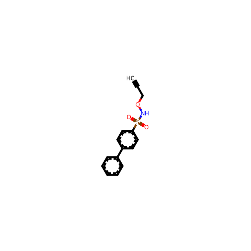 C#CCONS(=O)(=O)c1ccc(-c2ccccc2)cc1